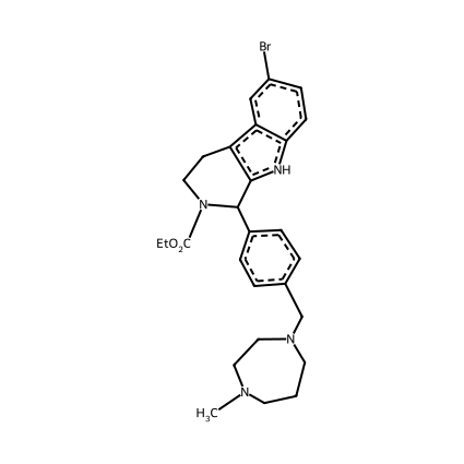 CCOC(=O)N1CCc2c([nH]c3ccc(Br)cc23)C1c1ccc(CN2CCCN(C)CC2)cc1